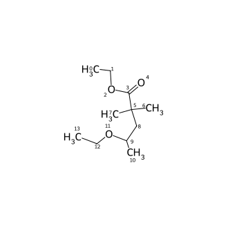 CCOC(=O)C(C)(C)CC(C)OCC